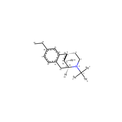 [2H]C([2H])([2H])N1CC[C@@]23CCCC[C@@H]2[C@@H]1Cc1ccc(CC)cc13